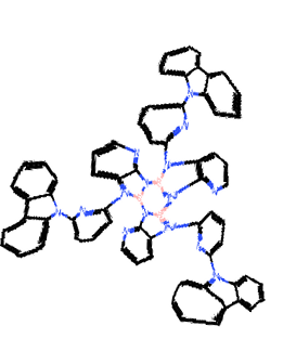 c1cc(N2B3N(B4N(B5N3c3ncccc3N5c3cccc(-n5c6ccccc6c6ccccc65)n3)c3ncccc3N4c3cccc(-n4c5ccccc5c5ccccc54)n3)c3ncccc32)nc(-n2c3ccccc3c3ccccc32)c1